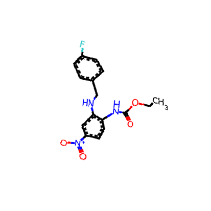 CCOC(=O)Nc1ccc([N+](=O)[O-])cc1NCc1ccc(F)cc1